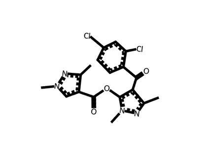 Cc1nn(C)cc1C(=O)Oc1c(C(=O)c2ccc(Cl)cc2Cl)c(C)nn1C